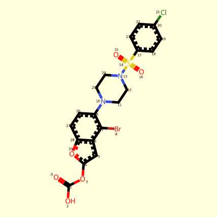 O=C(O)Oc1cc2c(Br)c(N3CCN(S(=O)(=O)c4ccc(Cl)cc4)CC3)ccc2o1